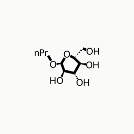 CCCO[C@H]1O[C@H](CO)[C@@H](O)[C@H](O)[C@H]1O